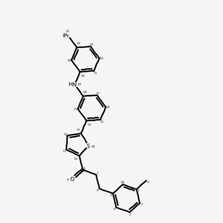 Cc1cccc(CCC(=O)c2ccc(-c3cccc(Nc4cccc(C(C)C)c4)c3)s2)c1